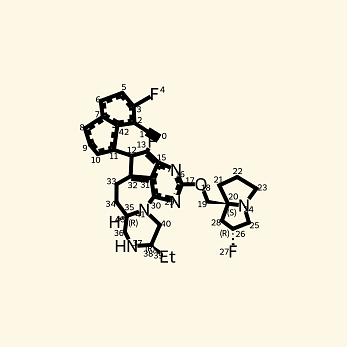 C#Cc1c(F)ccc2cccc(C3C(F)=c4nc(OC[C@@]56CCCN5C[C@H](F)C6)nc5c4=C3CC[C@@H]3CN[C@H](CC)CN53)c12